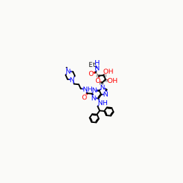 CCNC(=O)[C@H]1O[C@@H](n2cnc3c(NCC(c4ccccc4)c4ccccc4)nc(C(=O)NCCCN4CCN(C)CC4)nc32)[C@@H](O)[C@@H]1O